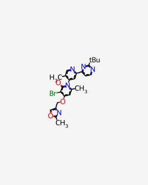 Cc1nc(COc2cc(C)n(-c3cc(-c4ccnc(C(C)(C)C)n4)ncc3C)c(=O)c2Br)co1